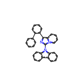 c1ccc(-c2ccccc2-c2nc(-n3c4ccccc4c4ccccc43)n3ccccc23)cc1